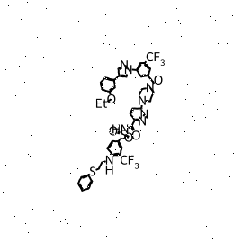 CCOc1cccc(-c2cnn(-c3cc(C(=O)N4CCN(c5ccc(C(=O)NS(=O)(=O)c6ccc(NCCSc7ccccc7)c(C(F)(F)F)c6)nn5)CC4)cc(C(F)(F)F)c3)c2)c1